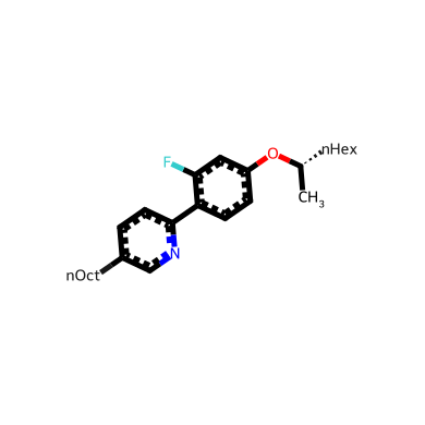 CCCCCCCCc1ccc(-c2ccc(O[C@@H](C)CCCCCC)cc2F)nc1